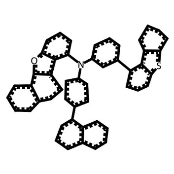 c1cc(-c2cccc3sc4ccccc4c23)cc(N(c2ccc(-c3cccc4ccccc34)cc2)c2cccc3oc4c5ccccc5ccc4c23)c1